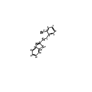 Brc1ccccc1CSc1nc2ccccc2s1